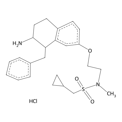 CN(CCOc1ccc2c(c1)C(Cc1ccccc1)C(N)CC2)S(=O)(=O)CC1CC1.Cl